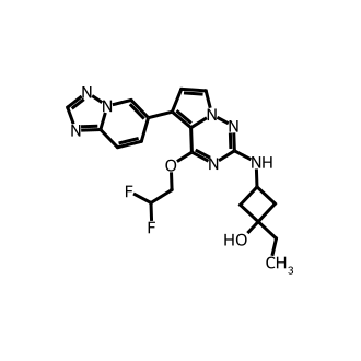 CCC1(O)CC(Nc2nc(OCC(F)F)c3c(-c4ccc5ncnn5c4)ccn3n2)C1